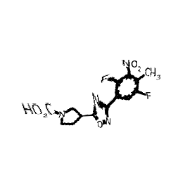 Cc1c(F)cc(-c2noc([C@H]3CCN(C(=O)O)C3)n2)c(F)c1[N+](=O)[O-]